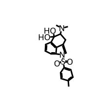 Cc1ccc(S(=O)(=O)n2cc3c4c(cccc42)C(O)(O)C(N(C)C)C3)cc1